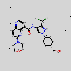 O=C(Nc1cn([C@H]2CC[C@H](CO)CC2)nc1C(F)F)c1ccnc2ccc(N3CCOCC3)nc12